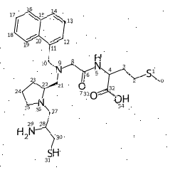 CSCCC(NC(=O)CN(Cc1cccc2ccccc12)C[C@@H]1CCCN1CC(N)CS)C(=O)O